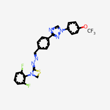 Fc1cccc(F)c1N1CSC1=NN=Cc1ccc(-c2ncn(-c3ccc(OC(F)(F)F)cc3)n2)cc1